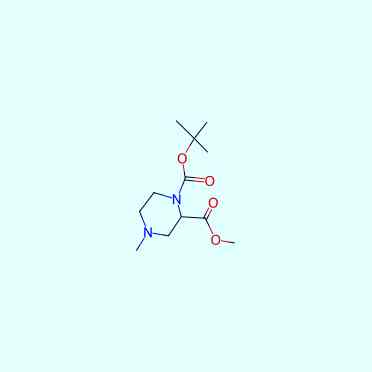 COC(=O)C1CN(C)CCN1C(=O)OC(C)(C)C